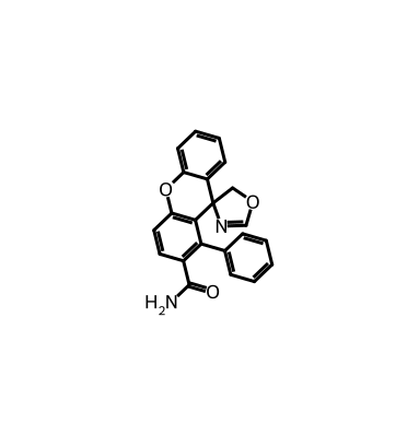 NC(=O)c1ccc2c(c1-c1ccccc1)C1(COC=N1)c1ccccc1O2